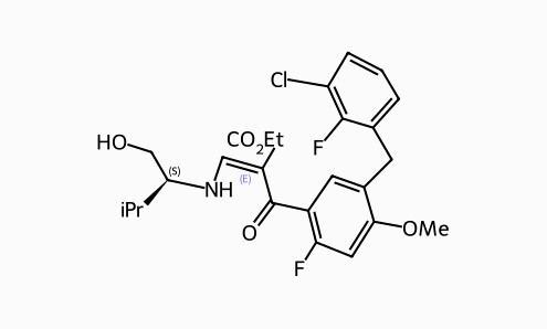 CCOC(=O)/C(=C/N[C@H](CO)C(C)C)C(=O)c1cc(Cc2cccc(Cl)c2F)c(OC)cc1F